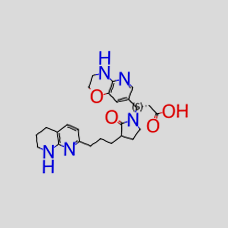 O=C(O)C[C@@H](c1cnc2c(c1)OCCN2)N1CCC(CCCc2ccc3c(n2)NCCC3)C1=O